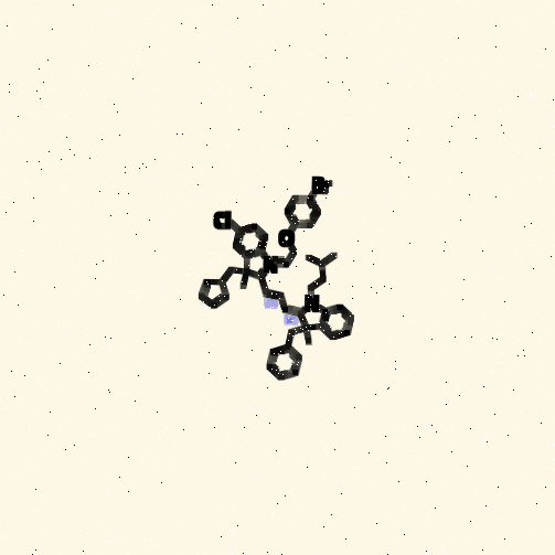 CC(C)CCN1/C(=C\C=C\C2=[N+](CCOc3ccc(Br)cc3)c3ccc(Cl)cc3C2(C)CC2C=CC=C2)C(C)(Cc2ccccc2)c2ccccc21